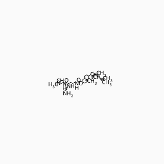 CC(C)CCC[C@@H](C)[C@H]1CCC2C3CC=C4CC(OC(=O)NCCCC(NCCCN)C(=O)NCCN(C)C)CC[C@]4(C)C3CC[C@@]21C